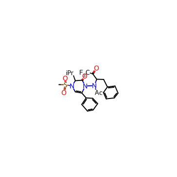 CC(=O)N(C(Cc1ccccc1)C(=O)C(F)(F)F)N1C(=O)C(C(C)C)N(S(C)(=O)=O)C=C1c1ccccc1